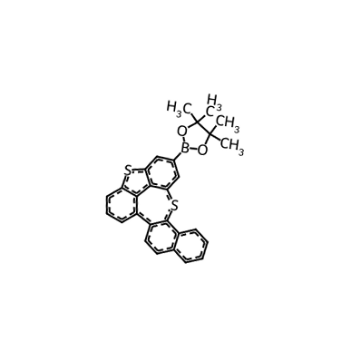 CC1(C)OB(c2cc3sc4cccc5c6ccc7ccccc7c6sc(c2)c3c45)OC1(C)C